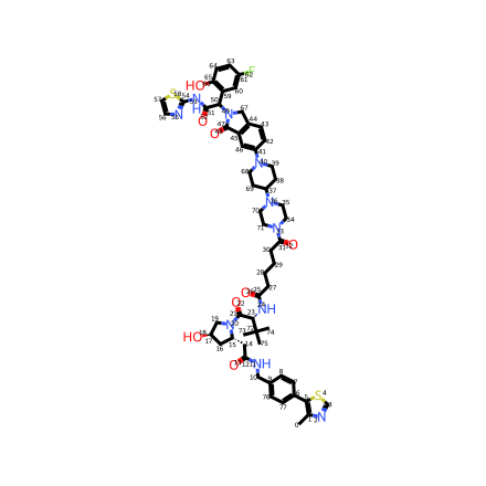 Cc1ncsc1-c1ccc(CNC(=O)C[C@@H]2C[C@@H](O)CN2C(=O)[C@H](NC(=O)CCCCC(=O)N2CCN(C3CCN(c4ccc5c(c4)C(=O)N(C(C(=O)Nc4nccs4)c4cc(F)ccc4O)C5)CC3)CC2)C(C)(C)C)cc1